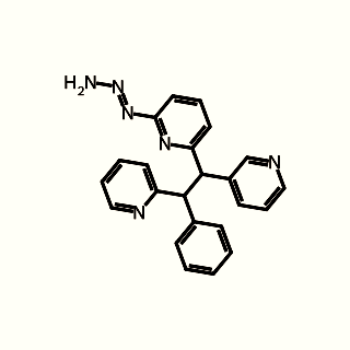 NN=Nc1cccc(C(c2cccnc2)C(c2ccccc2)c2ccccn2)n1